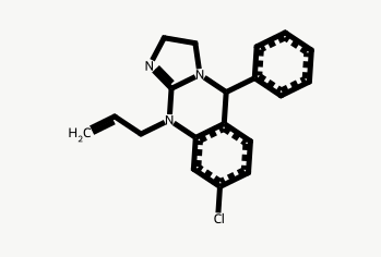 C=CCN1C2=NCCN2C(c2ccccc2)c2ccc(Cl)cc21